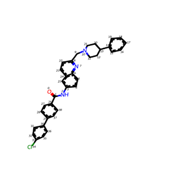 O=C(Nc1ccc2nc(CN3CCC(c4ccccc4)CC3)ccc2c1)c1ccc(-c2ccc(Cl)cc2)cc1